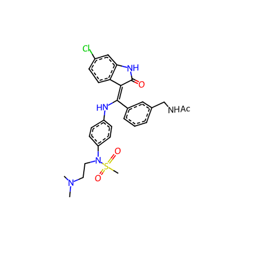 CC(=O)NCc1cccc(C(Nc2ccc(N(CCN(C)C)S(C)(=O)=O)cc2)=C2C(=O)Nc3cc(Cl)ccc32)c1